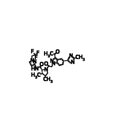 CC(=O)c1nn(CC(=O)N2C[C@@H](C)[C@@H](C)[C@H]2C(=O)Nc2ccn(CC(F)(F)F)n2)c2ccc(-c3cnc(C)nc3)cc12